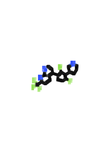 Fc1ccc(-c2ccnc3nc(C(F)(F)F)ccc23)c(F)c1-c1cccnc1